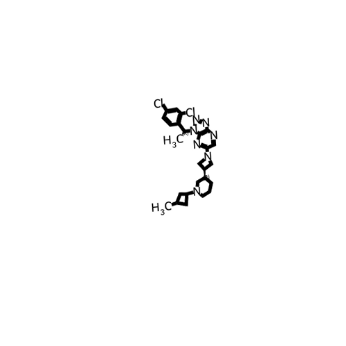 CC1CC(N2CCC[C@H](C3CN(c4cnc5nnn([C@H](C)c6ccc(Cl)cc6Cl)c5n4)C3)C2)C1